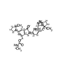 CNC(=O)OCc1nc(N2CCC[C@H]2C)cc2c1CN(c1cccc(-c3nnc4n3C(C)(C)CC4)n1)C2=O